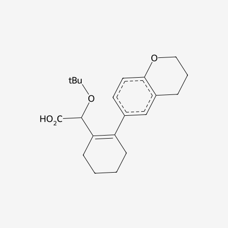 CC(C)(C)OC(C(=O)O)C1=C(c2ccc3c(c2)CCCO3)CCCC1